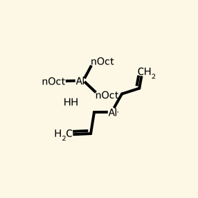 C=C[CH2][Al][CH2]C=C.CCCCCCC[CH2][Al]([CH2]CCCCCCC)[CH2]CCCCCCC.[HH]